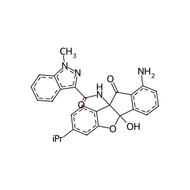 CC(C)c1ccc2c(c1)OC1(O)c3cccc(N)c3C(=O)C21NC(=O)c1nn(C)c2ccccc12